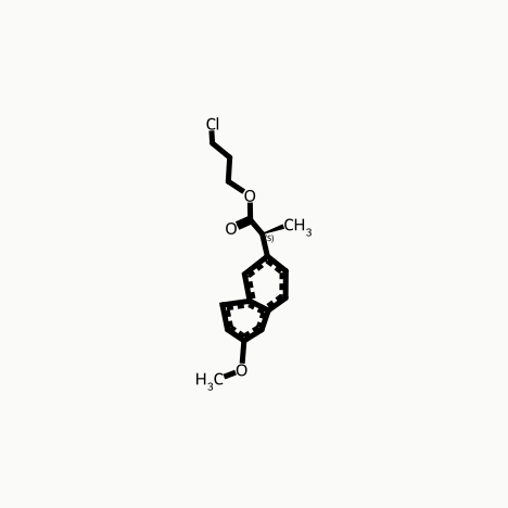 COc1ccc2cc([C@H](C)C(=O)OCCCCl)ccc2c1